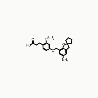 COc1cc(OCc2cc(N)cc3c2OC2(CCCC2)C3)ccc1CCC(=O)O